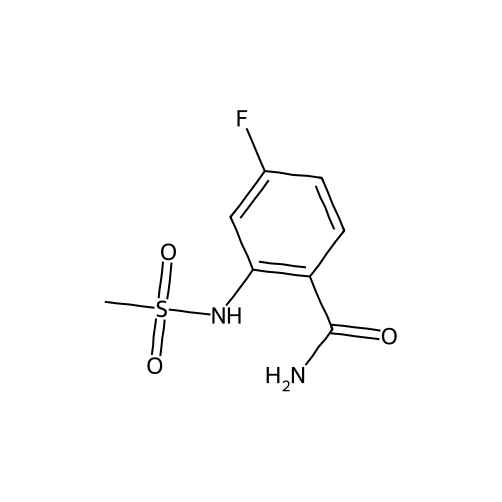 CS(=O)(=O)Nc1cc(F)ccc1C(N)=O